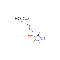 C=C(CCCNC(=O)c1c(C)n[nH]c1C)C(=O)O